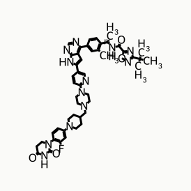 Cc1cc(-c2ncnc3[nH]c(-c4ccc(N5CCN(CC6CCN(c7ccc(N8CCC(=O)NC8=O)c(F)c7)CC6)CC5)nc4)cc23)ccc1[C@@H](C)NC(=O)c1nc(C(C)(C)C)no1